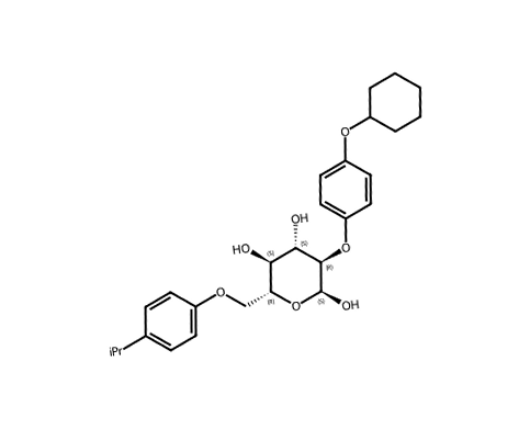 CC(C)c1ccc(OC[C@H]2O[C@H](O)[C@H](Oc3ccc(OC4CCCCC4)cc3)[C@@H](O)[C@@H]2O)cc1